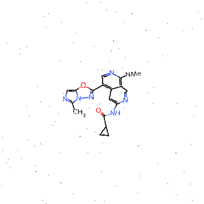 CNc1ncc(-c2nn3c(C)ncc3o2)c2cc(NC(=O)C3CC3)ncc12